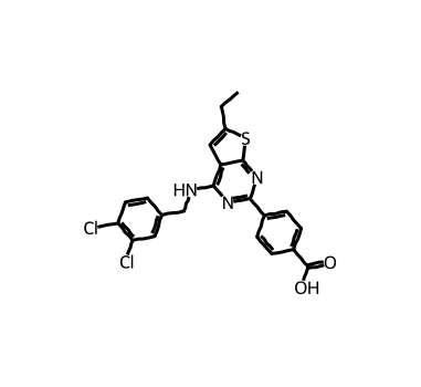 CCc1cc2c(NCc3ccc(Cl)c(Cl)c3)nc(-c3ccc(C(=O)O)cc3)nc2s1